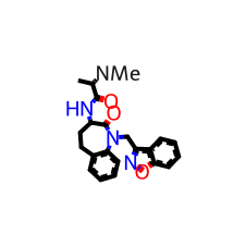 CNC(C)C(=O)NC1CCc2ccccc2N(Cc2noc3ccccc23)C1=O